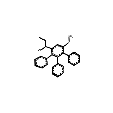 CCC(Cl)c1cc(O[SiH3])c(-c2ccccc2)c(-c2ccccc2)c1-c1ccccc1